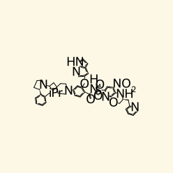 CC(C)c1ccccc1[C@H]1CCCN1C1CC2(CCN(c3ccc(C(=O)NS(=O)(=O)c4cc([N+](=O)[O-])c5c(n4)OC[C@H](Cc4ccccn4)N5)c(Oc4cnc5[nH]ccc5c4)c3)CC2)C1